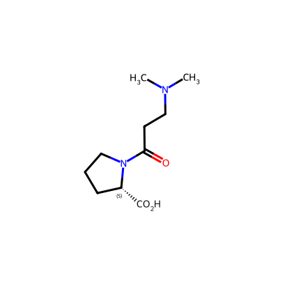 CN(C)CCC(=O)N1CCC[C@H]1C(=O)O